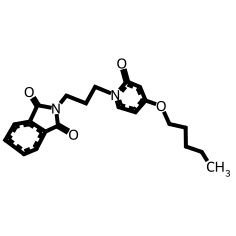 CCCCCOc1ccn(CCCN2C(=O)c3ccccc3C2=O)c(=O)c1